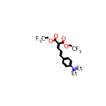 CCN(CC)c1ccc(C=CC=C(C(=O)OCC(F)(F)F)C(=O)OCC(F)(F)F)cc1